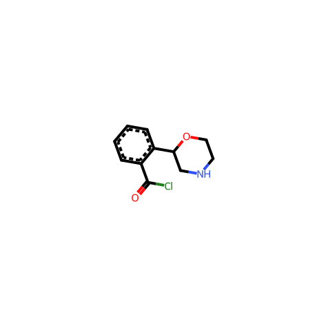 O=C(Cl)c1ccccc1C1CNCCO1